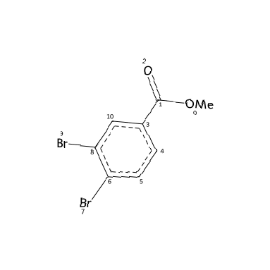 COC(=O)c1ccc(Br)c(Br)c1